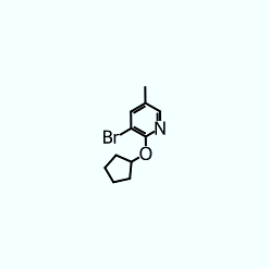 Cc1cnc(OC2CCCC2)c(Br)c1